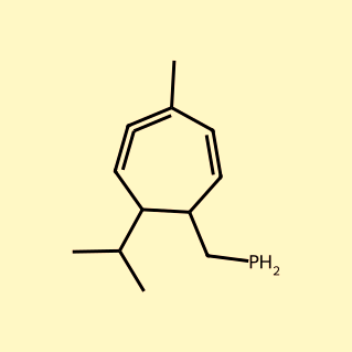 CC1=C=CC(C(C)C)C(CP)C=C1